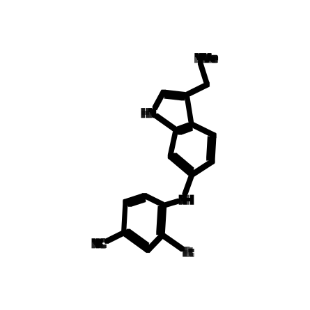 CCc1cc(C#N)ccc1Nc1ccc2c(CNC)c[nH]c2c1